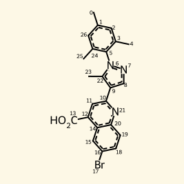 Cc1cc(C)c(-n2ncc(-c3cc(C(=O)O)c4cc(Br)ccc4n3)c2C)c(C)c1